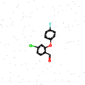 O=Cc1ccc(Cl)cc1Oc1ccc(F)cc1